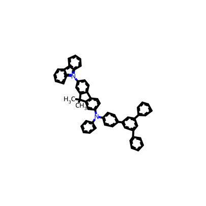 CC1(C)c2cc(N(c3ccccc3)c3ccc(-c4cc(-c5ccccc5)cc(-c5ccccc5)c4)cc3)ccc2-c2ccc(-n3c4ccccc4c4ccccc43)cc21